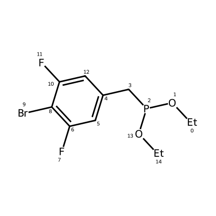 CCOP(Cc1cc(F)c(Br)c(F)c1)OCC